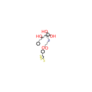 O=C(CCC/C=C\C[C@@H]1[C@@H](CC[C@@H](O)CCc2ccccc2)[C@H](O)C[C@H]1O)Oc1ccc(-c2cc(=S)ss2)cc1